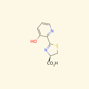 O=C(O)[C@@H]1CSC(c2ncccc2O)=N1